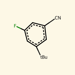 CC(C)(C)c1cc(F)cc(C#N)c1